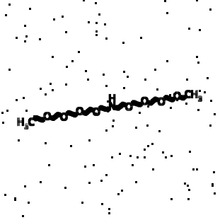 CCCOCCOCCOCCOCCNCCOCCOCCOCCOCC